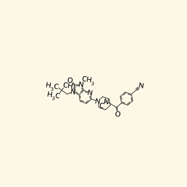 Cn1c(=O)n(CC(C)(C)C)c2ccc(N3CC4CCC3CN4C(=O)c3ccc(C#N)cc3)nc21